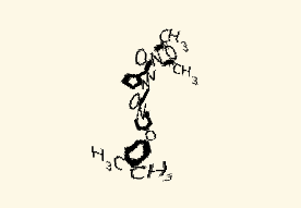 Cc1ccc(OC2CCN(C(=O)Cn3nc(C(=O)N4C[C@@H](C)O[C@@H](C)C4)c4c3CCC4)CC2)cc1C